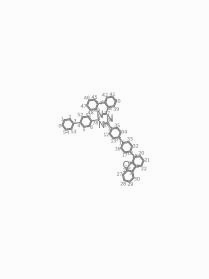 c1ccc(-c2ccc(-c3nc(-c4ccc(-c5ccc(-c6cccc7c6oc6ccccc67)cc5)cc4)nc(-c4ccccc4-c4ccccc4)n3)cc2)cc1